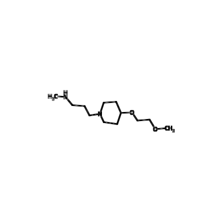 CNCCCN1CCC(OCCOC)CC1